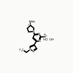 CN[C@@H]1CCN(c2cc(-c3cnn(CC(F)(F)F)c3)nc(N)n2)C1.Cl.Cl